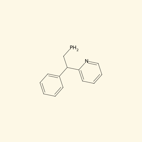 PCC(c1ccccc1)c1ccccn1